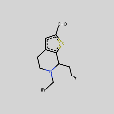 C[C](C)CN1CCc2cc(C=O)sc2C1CC(C)C